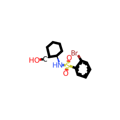 O=S(=O)(N[C@@H]1CCCC[C@H]1CO)c1ccccc1Br